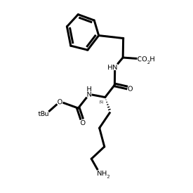 CC(C)(C)OC(=O)N[C@@H](CCCCN)C(=O)NC(Cc1ccccc1)C(=O)O